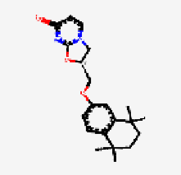 CC1(C)CCC(C)(C)c2cc(OC[C@@H]3Cn4ccc(=O)nc4O3)ccc21